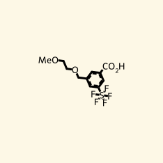 COCCOCc1cc(C(=O)O)cc(S(F)(F)(F)(F)F)c1